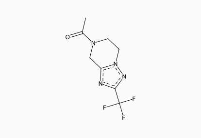 CC(=O)N1CCn2nc(C(F)(F)F)nc2C1